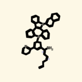 C=CC/C=C\C=C(/N)C1=CC(C2=NC=CCC2)=CC(N2C3=C(C=C=C=C3)c3c(n(-c4ccc5ccccc5c4)c4ccccc34)-c3ccccc32)C1